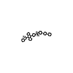 c1ccc(-c2ccc(-c3ccc4nn(-c5ccc(-c6c7ccccc7c(-c7cnc8ccccc8c7)c7ccccc67)cc5)nc4c3)cc2)cc1